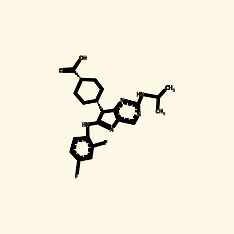 CC(C)Nc1ncc2c(n1)C([C@H]1CC[C@@H](C(=O)O)CC1)C(Nc1ccc(F)cc1F)=N2